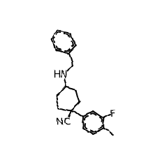 Cc1ccc(C2(C#N)CCC(NCc3ccccc3)CC2)cc1F